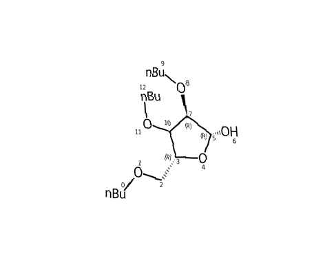 CCCCOC[C@H]1O[C@@H](O)[C@H](OCCCC)C1OCCCC